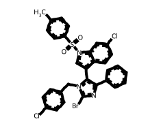 Cc1ccc(S(=O)(=O)n2cc(-c3c(-c4ccccc4)nc(Br)n3Cc3ccc(Cl)cc3)c3ccc(Cl)cc32)cc1